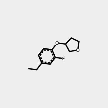 CCc1ccc(OC2CCOC2)c(F)c1